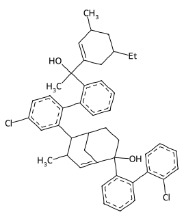 CCC1CC(C(C)(O)c2ccccc2-c2ccc(Cl)cc2C2C(C)C=C3CC2CCC3(O)c2ccccc2-c2ccccc2Cl)=CC(C)C1